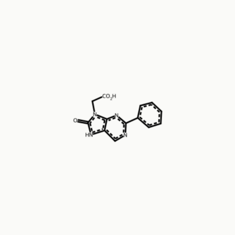 O=C(O)Cn1c(=O)[nH]c2cnc(-c3ccccc3)nc21